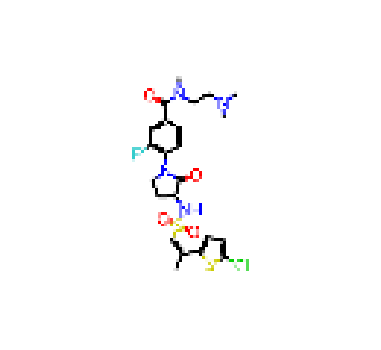 C/C(=C/S(=O)(=O)NC1CCN(c2ccc(C(=O)N(C)CCN(C)C)cc2F)C1=O)c1ccc(Cl)s1